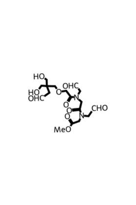 COC(=O)CN(CC=O)C(=O)CN(CC=O)C(=O)COCC(CO)(CO)CC=O